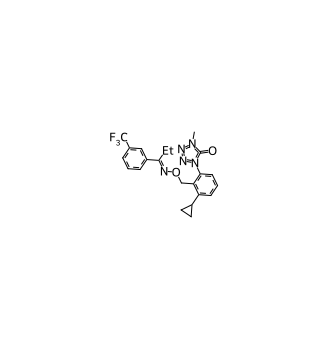 CCC(=NOCc1c(C2CC2)cccc1-n1nnn(C)c1=O)c1cccc(C(F)(F)F)c1